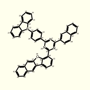 c1ccc2cc(-c3nc(-c4ccc(-n5c6ccccc6c6ccccc65)cc4)nc(-c4cccc5c4oc4cc6ccccc6cc45)n3)ccc2c1